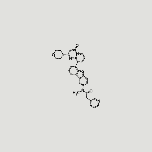 CN(C(=O)Cc1cccnc1)c1ccc2sc3c(-c4cccn5c(=O)cc(N6CCOCC6)nc45)cccc3c2c1